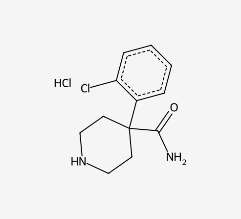 Cl.NC(=O)C1(c2ccccc2Cl)CCNCC1